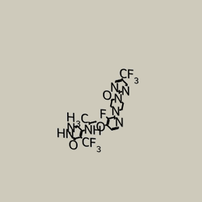 CC(COc1ccnc(N2CCN(c3ncc(C(F)(F)F)cn3)C(=O)C2)c1F)Nc1cn[nH]c(=O)c1C(F)(F)F